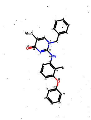 COc1cn(Cc2ccccc2)c(Nc2cccc(Oc3ccccc3)c2C)nc1=O